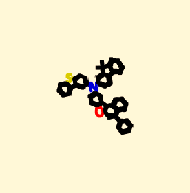 CC1(C)c2ccccc2-c2ccc(N(c3ccc4sc5ccccc5c4c3)c3ccc4oc5cc(-c6ccccc6)c6ccccc6c5c4c3)cc21